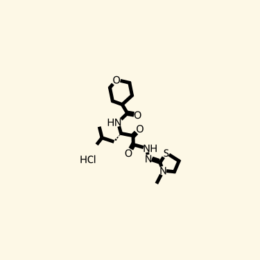 CC(C)C[C@H](NC(=O)C1CCOCC1)C(=O)C(=O)NN=C1SCCN1C.Cl